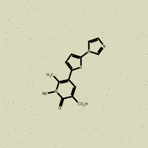 Cc1c(-c2ccc(-n3ccnc3)s2)cc(C(=O)O)c(=O)n1C#N